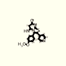 COc1ccc(C2=C(c3ccncc3)SC3=NC(=O)CC(=N)N32)cc1